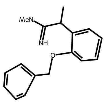 CNC(=N)C(C)c1ccccc1OCc1ccccc1